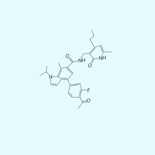 CCCc1cc(C)[nH]c(=O)c1CNC(=O)c1cc(-c2ccc(C(C)=O)c(F)c2)c2ccn(C(C)C)c2c1C